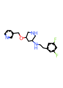 Fc1cc(F)cc(CCNC2CNCC(OCc3cccnc3)C2)c1